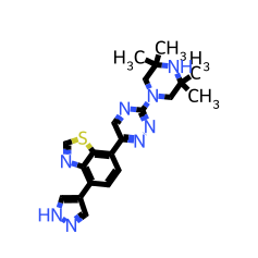 CC1(C)CN(c2ncc(-c3ccc(-c4cn[nH]c4)c4ncsc34)nn2)CC(C)(C)N1